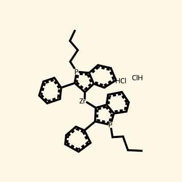 CCCCp1c(-c2ccccc2)[c]([Zr][c]2c(-c3ccccc3)p(CCCC)c3ccccc23)c2ccccc21.Cl.Cl